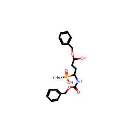 CCCCCCP(=O)(O)C(CCC(O)OCc1ccccc1)NC(=O)OCc1ccccc1